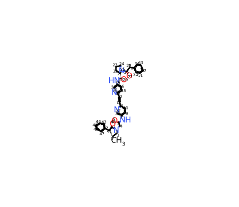 CCCN(CC(=O)Nc1ccc(C#Cc2ccc(NC(=O)[C@@H]3CCCN3C(=O)Cc3ccccc3)cn2)nc1)C(=O)Cc1ccccc1